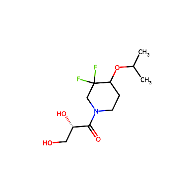 CC(C)OC1CCN(C(=O)[C@@H](O)CO)CC1(F)F